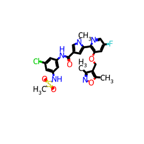 Cc1noc(C)c1COc1cc(F)cnc1-c1cc(C(=O)Nc2cc(Cl)cc(NS(C)(=O)=O)c2)cn1C